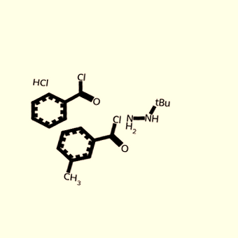 CC(C)(C)NN.Cc1cccc(C(=O)Cl)c1.Cl.O=C(Cl)c1ccccc1